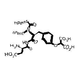 CCCCCC(=O)N(CCCCC)[C@@H](Cc1ccc(OC(C(=O)O)C(=O)O)cc1)C(=O)NC(=O)[C@@H](N)CC(=O)O